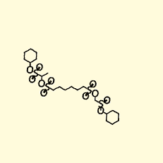 CC(OS(=O)(=O)CCCCCCS(=O)(=O)OCS(=O)OC1CCCCC1)S(=O)(=O)OC1CCCCC1